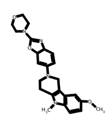 COc1ccc2c(c1)c1c(n2C)CCN(C2=CC3OC(N4CCOCC4)=NC3C=C2)C1